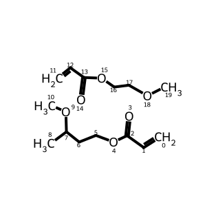 C=CC(=O)OCCC(C)OC.C=CC(=O)OCCOC